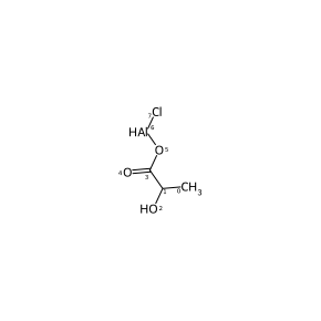 CC(O)C(=O)[O][AlH][Cl]